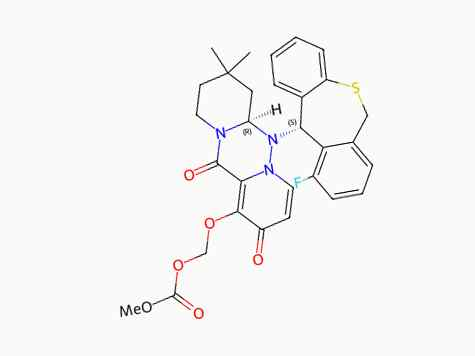 COC(=O)OCOc1c2n(ccc1=O)N([C@@H]1c3ccccc3SCc3cccc(F)c31)[C@@H]1CC(C)(C)CCN1C2=O